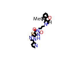 COc1cccc2c1[C@@H]1CN(CCCCn3c(=O)[nH]c4c(sc5ncc(-c6cccnc6)nc54)c3=O)C[C@@H]1CO2